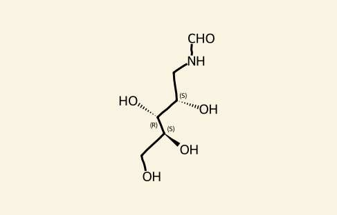 O=CNC[C@H](O)[C@@H](O)[C@@H](O)CO